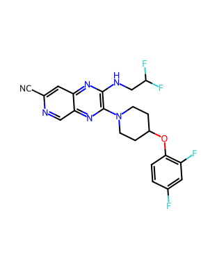 N#Cc1cc2nc(NCC(F)F)c(N3CCC(Oc4ccc(F)cc4F)CC3)nc2cn1